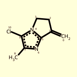 C=C1CCn2c1nc(C)c2Cl